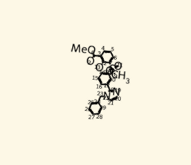 COC(=O)c1cccc(S(C)(=O)=O)c1Oc1ccc(-c2nccn2Cc2ccccc2)cc1